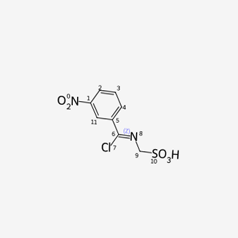 O=[N+]([O-])c1cccc(/C(Cl)=N/CS(=O)(=O)O)c1